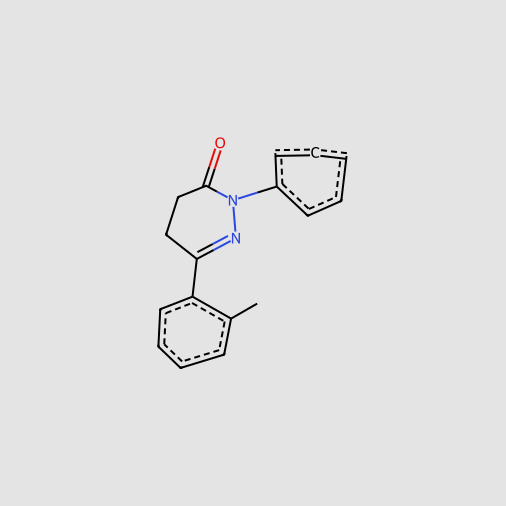 Cc1ccccc1C1=NN(c2ccccc2)C(=O)CC1